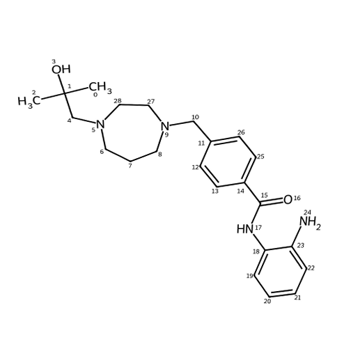 CC(C)(O)CN1CCCN(Cc2ccc(C(=O)Nc3ccccc3N)cc2)CC1